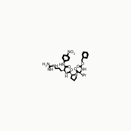 CC(C)[C@H](NC(=O)OCc1ccccc1)C(=O)N1CCC[C@H]1C(=O)N[C@@H](CCCNC(=N)N)C(=O)Nc1ccc([N+](=O)[O-])cc1